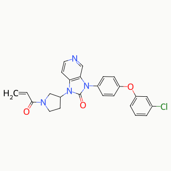 C=CC(=O)N1CCC(n2c(=O)n(-c3ccc(Oc4cccc(Cl)c4)cc3)c3cnccc32)C1